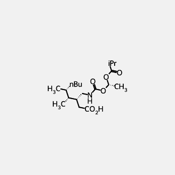 CCCC[C@@H](C)[C@@H](C)[C@H](CNC(=O)O[C@@H](C)OC(=O)C(C)C)CC(=O)O